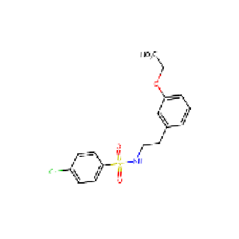 O=C(O)COc1cccc(CCNS(=O)(=O)c2ccc(Cl)cc2)c1